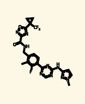 Cc1c(CNC(=O)c2noc(C3(C(F)(F)F)CC3)n2)ccc(-c2ncnc(Nc3ccn(C)n3)n2)c1F